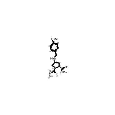 COC(=O)[C@@H]1C[C@H](NCc2ccc(OC)cc2)CN1C(=O)OC(C)(C)C